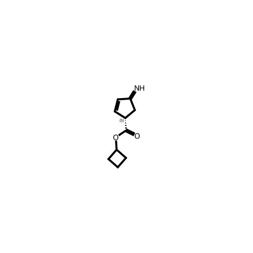 N=C1C=C[C@@H](C(=O)OC2CCC2)C1